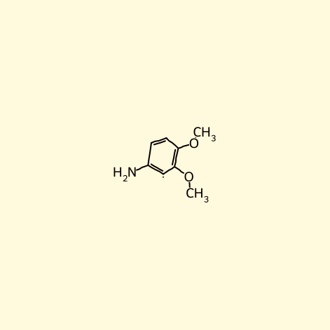 COc1[c]c(N)ccc1OC